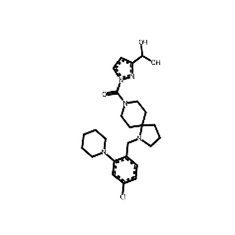 O=C(N1CCC2(CCCN2Cc2ccc(Cl)cc2N2CCCCC2)CC1)n1ccc(C(O)O)n1